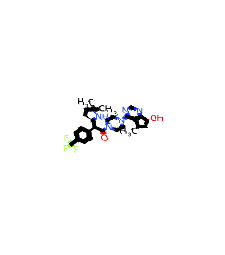 C[C@@H]1C[C@@H](O)c2ncnc(N3CCN(C(=O)[C@@H](c4ccc(C(F)(F)F)cc4)[C@@H]4CCC(C)(C)N4)CC3)c21